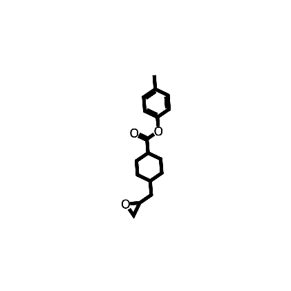 Cc1ccc(OC(=O)C2CCC(CC3CO3)CC2)cc1